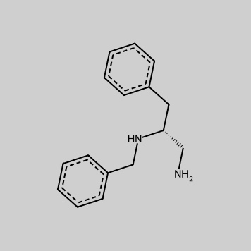 NC[C@@H](Cc1ccccc1)NCc1ccccc1